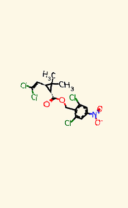 CC1(C)[C@H](C=C(Cl)Cl)[C@H]1C(=O)OCc1c(Cl)cc([N+](=O)[O-])cc1Cl